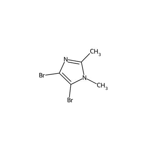 Cc1nc(Br)c(Br)n1C